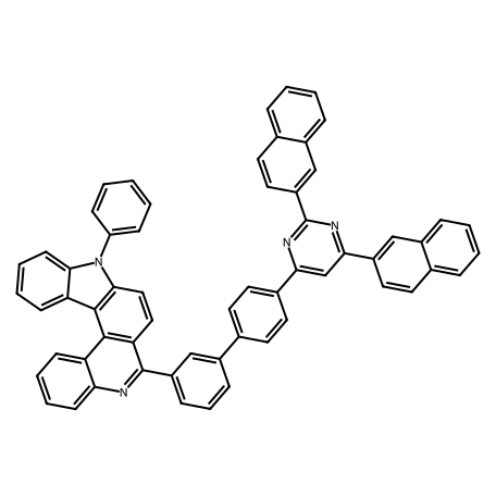 c1ccc(-n2c3ccccc3c3c4c(ccc32)c(-c2cccc(-c3ccc(-c5cc(-c6ccc7ccccc7c6)nc(-c6ccc7ccccc7c6)n5)cc3)c2)nc2ccccc24)cc1